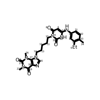 CCc1cc(Nc2cc(=O)n(CCCCCn3cnc4c(=O)n(C)c(=O)n(C)c43)c(=O)[nH]2)ccc1C